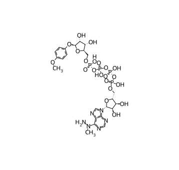 COc1ccc(O[C@@H]2O[C@H](COP(=O)(O)OP(=O)(O)OP(=O)(O)OP(=O)(O)OC[C@H]3O[C@@H](n4cnc5c(N(C)N)ncnc54)[C@H](O)[C@@H]3O)[C@@H](O)[C@H]2O)cc1